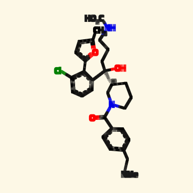 CNCc1ccc(C(=O)N2CCC[C@@H](C(O)(CCCNC(=O)O)c3cccc(Cl)c3-c3ccc(C)o3)C2)cc1